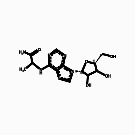 CC(Nc1ncnc2c1ncn2[C@@H]1O[C@H](CO)C(O)C1O)C(N)=O